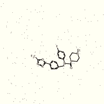 CCN1CCN(C(=O)N(Cc2ccc(-c3nnc(C(F)(F)F)o3)cc2)c2ccc(F)cc2)CC1